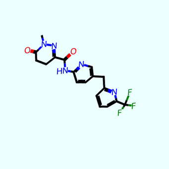 CN1N=C(C(=O)Nc2ccc(Cc3cccc(C(F)(F)F)n3)cn2)CCC1=O